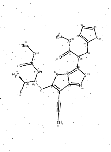 CC#Cc1c(C[C@@H](NC(=O)OC(C)(C)C)[C@H](C)F)sc2c(N(Cc3cccs3)C(=O)OC(C)(C)C)snc12